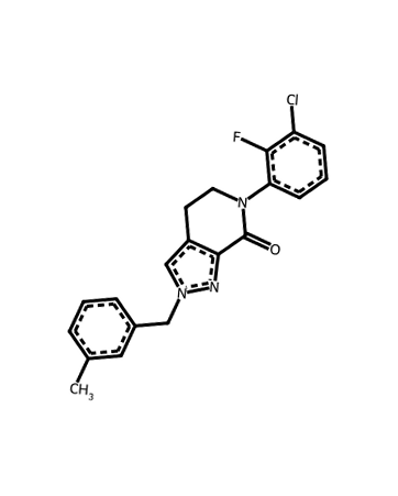 Cc1cccc(Cn2cc3c(n2)C(=O)N(c2cccc(Cl)c2F)CC3)c1